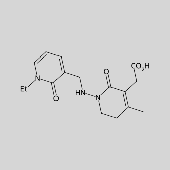 CCn1cccc(CNN2CCC(C)=C(CC(=O)O)C2=O)c1=O